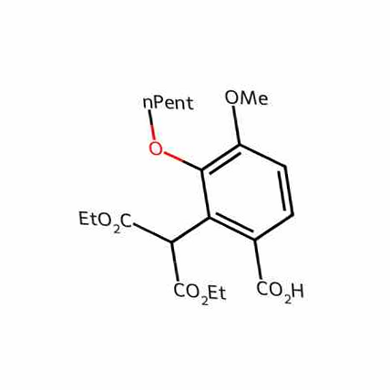 CCCCCOc1c(OC)ccc(C(=O)O)c1C(C(=O)OCC)C(=O)OCC